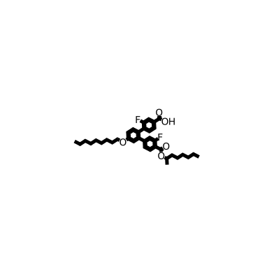 CCCCCCCCCOc1ccc(-c2ccc(C(=O)O)cc2F)c(-c2ccc(C(=O)OC(C)CCCCCC)c(F)c2)c1